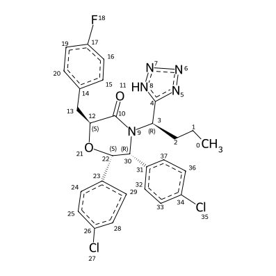 CCC[C@H](c1nnn[nH]1)N1C(=O)[C@H](Cc2ccc(F)cc2)O[C@@H](c2ccc(Cl)cc2)[C@H]1c1ccc(Cl)cc1